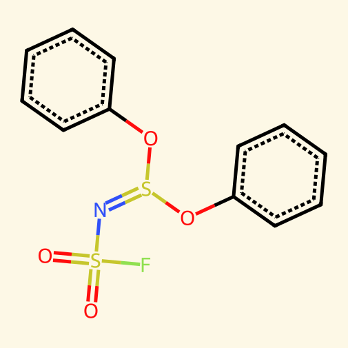 O=S(=O)(F)N=S(Oc1ccccc1)Oc1ccccc1